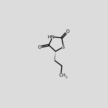 CCC[C@H]1SC(=O)NC1=O